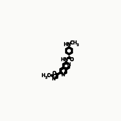 CN[C@H]1CC[C@H](C(=O)Nc2cc3cc(-c4cnc(C)o4)ncc3cn2)CC1